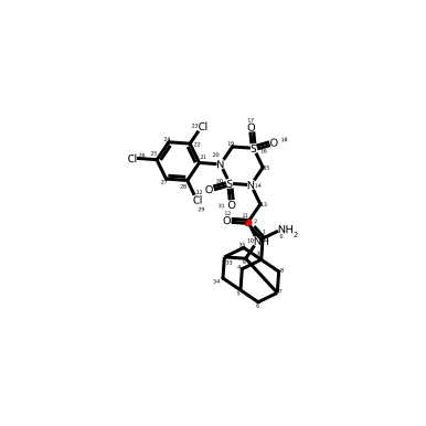 NC(=O)C12CC3CC(C1)C(NC(=O)CN1CS(=O)(=O)CN(c4c(Cl)cc(Cl)cc4Cl)S1(=O)=O)C(C3)C2